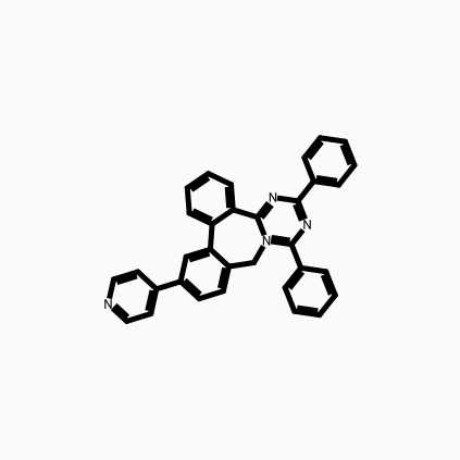 c1ccc(-c2nc(-c3ccccc3)[n+]3c(n2)-c2ccccc2-c2cc(-c4ccncc4)ccc2C3)cc1